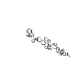 CS(=O)(=O)c1ccc(C[C@@H](C=O)NC(=O)c2c(Cl)cc3c(c2Cl)CCN(C(=O)c2cc4cccnc4[nH]2)C3)o1